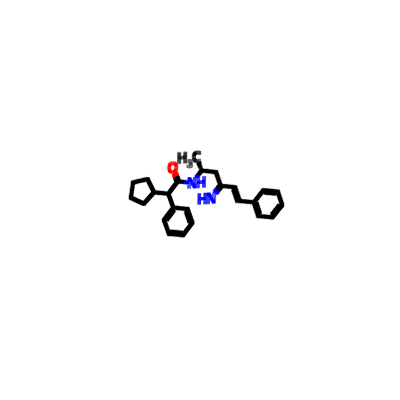 C[C@@H](CC(=N)C=Cc1ccccc1)NC(=O)C(c1ccccc1)C1CCCC1